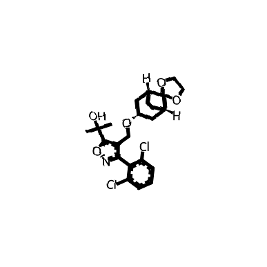 CC(C)(O)c1onc(-c2c(Cl)cccc2Cl)c1CO[C@@H]1C[C@H]2CC[C@@H](C1)C21OCCO1